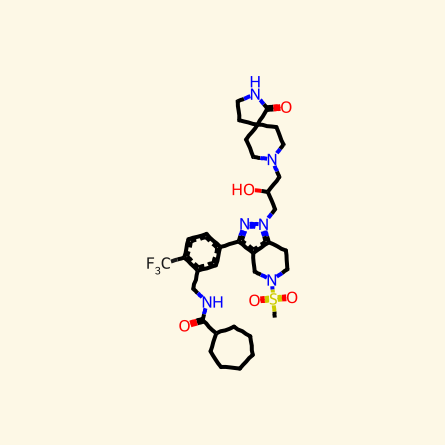 CS(=O)(=O)N1CCc2c(c(-c3ccc(C(F)(F)F)c(CNC(=O)C4CCCCCC4)c3)nn2CC(O)CN2CCC3(CCNC3=O)CC2)C1